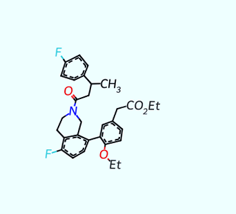 CCOC(=O)Cc1ccc(OCC)c(-c2ccc(F)c3c2CN(C(=O)CC(C)c2ccc(F)cc2)CC3)c1